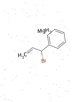 C=CC(Br)c1ccccc1.[MgH2]